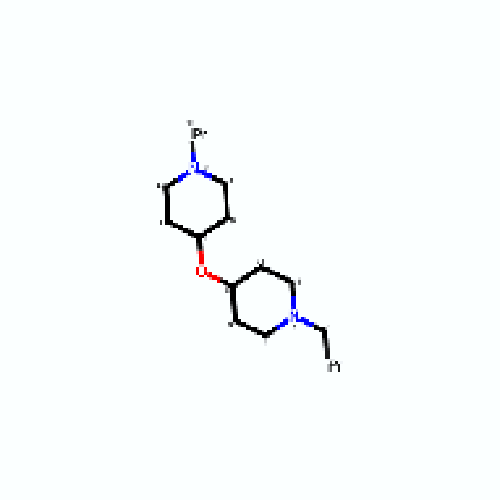 CC(C)CN1CCC(OC2CCN(C(C)C)CC2)CC1